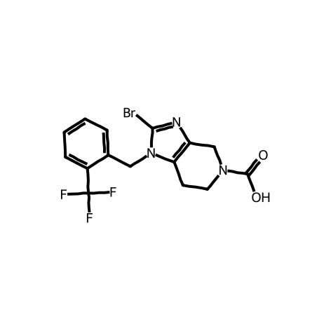 O=C(O)N1CCc2c(nc(Br)n2Cc2ccccc2C(F)(F)F)C1